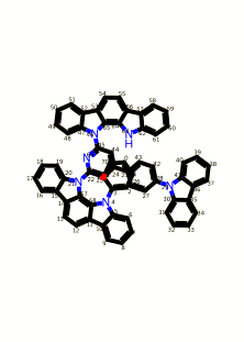 c1ccc(-n2c3ccccc3c3ccc4c5ccccc5n(-c5cc(-c6ccc(-n7c8ccccc8c8ccccc87)cc6)cc(-n6c7ccccc7c7ccc8c9ccccc9[nH]c8c76)n5)c4c32)cc1